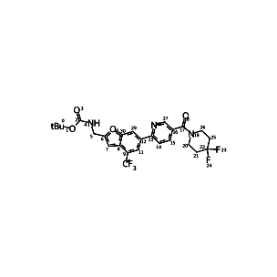 CC(C)(C)OC(=O)NCc1cc2c(C(F)(F)F)cc(-c3ccc(C(=O)N4CCC(F)(F)CC4)cn3)cc2o1